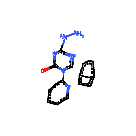 NNc1ncn(-c2ccccn2)c(=O)n1.c1cc2ccc1-2